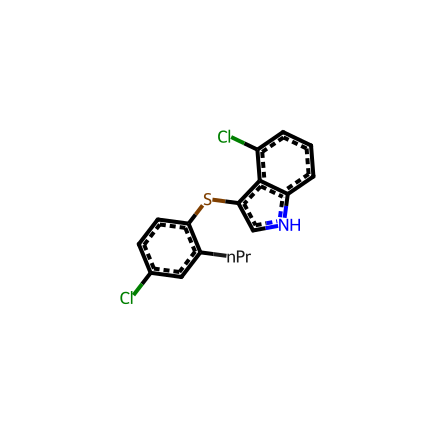 [CH2]CCc1cc(Cl)ccc1Sc1c[nH]c2cccc(Cl)c12